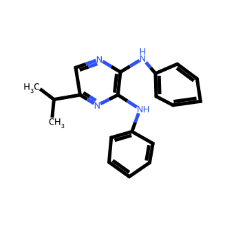 CC(C)c1cnc(Nc2ccccc2)c(Nc2ccccc2)n1